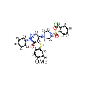 COc1ccc(Sc2c(N3CCN(S(=O)(=O)c4ccccc4Cl)CC3)cnn(-c3ccccc3)c2=O)cc1